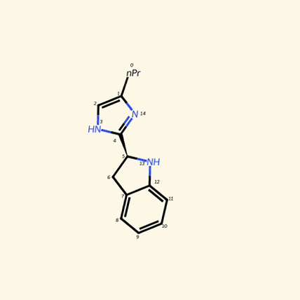 CCCc1c[nH]c([C@@H]2Cc3ccccc3N2)n1